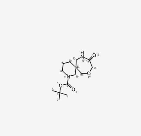 CC(C)(C)OC(=O)N1CCCC2(CNC(=O)COC2)C1